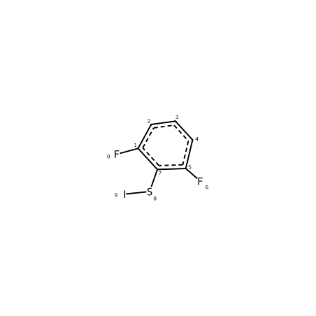 Fc1cccc(F)c1SI